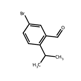 CC(C)c1ccc(Br)cc1C=O